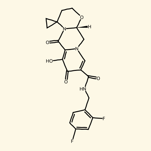 O=C(NCc1ccc(F)cc1F)c1cn2c(c(O)c1=O)C(=O)N1[C@@H](C2)OCCC12CC2